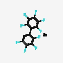 Fc1cc(-c2c(F)c(F)c(F)c(F)c2F)c(F)c(F)c1F.[Zn]